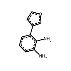 Nc1cccc(-c2ccoc2)c1N